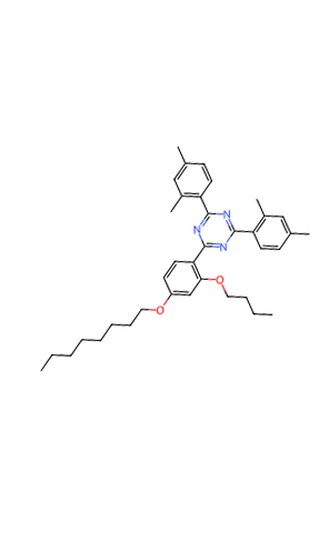 CCCCCCCCOc1ccc(-c2nc(-c3ccc(C)cc3C)nc(-c3ccc(C)cc3C)n2)c(OCCCC)c1